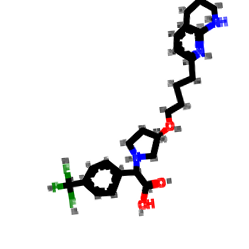 O=C(O)C(c1ccc(C(F)(F)F)cc1)N1CC[C@@H](OCCCCc2ccc3c(n2)NCCC3)C1